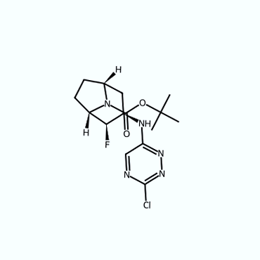 CC(C)(C)OC(=O)N1[C@@H]2CC[C@H]1[C@H](F)[C@H](Nc1cnc(Cl)nn1)C2